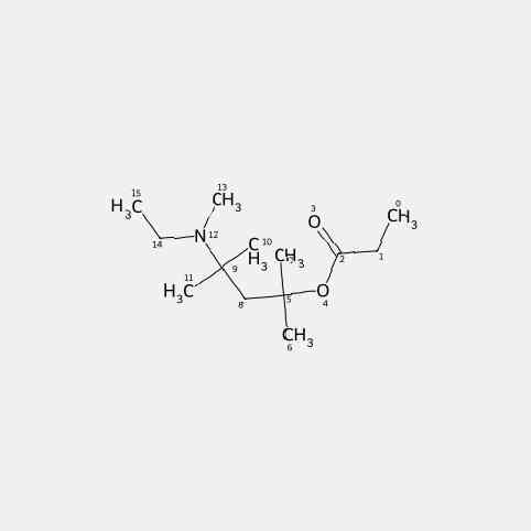 CCC(=O)OC(C)(C)CC(C)(C)N(C)CC